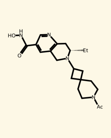 CC[C@H]1Cc2ncc(C(=O)NO)cc2CN1C1CC2(CCN(C(C)=O)CC2)C1